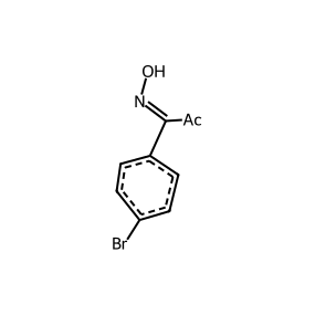 CC(=O)/C(=N\O)c1ccc(Br)cc1